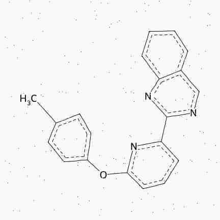 Cc1ccc(Oc2cccc(-c3ncc4ccccc4n3)n2)cc1